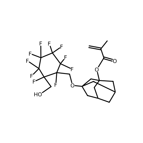 C=C(C)C(=O)OC12CC3CC(CC(OCC4(F)C(F)(F)C(F)(F)C(F)(F)C(F)(F)C4(F)CO)(C3)C1)C2